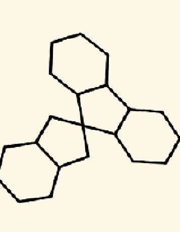 C1CCC2CC3(CC2C1)C1CCCCC1C1CCCCC13